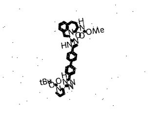 COC(=O)N[C@H]1CCc2cccc3c2N(C1=O)[C@H](c1ncc(-c2ccc(-c4ccc(-c5nnc([C@@H]6CCCN6C(=O)OC(C)(C)C)[nH]5)cc4)cc2)[nH]1)C3